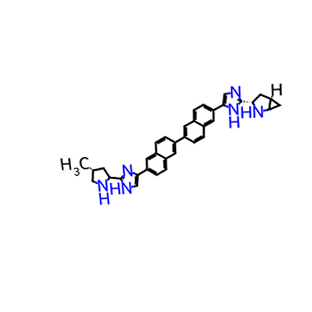 C[C@H]1CNC(c2nc(-c3ccc4cc(-c5ccc6cc(-c7cnc([C@@H]8C[C@H]9CC9N8)[nH]7)ccc6c5)ccc4c3)c[nH]2)C1